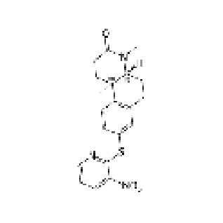 CN1C(=O)CC[C@]2(C)c3ccc(Sc4ncccc4[N+](=O)[O-])cc3CC[C@@H]12